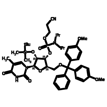 COc1ccc(C(OC[C@H]2O[C@@H](n3cc(C)c(=O)[nH]c3=O)[C@H](O[Si](C)(C)C(C)(C)C)[C@@H]2OP(=O)(OCCC#N)N(C(C)C)C(C)C)(c2ccccc2)c2ccc(OC)cc2)cc1